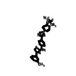 Cc1cccc(C2CSC(Nc3ccc(-c4ncn(C5=CC=C(OC(C)(C)F)CC=C5)n4)cc3)=N2)c1